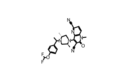 CC(c1ccc(OC(F)F)cc1)N1C[C@H](C)N(c2c(C#N)c(=O)n(C)c3ccc(C#N)nc23)C[C@H]1C